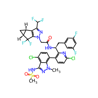 Cn1nc(NS(C)(=O)=O)c2c(Cl)ccc(-c3ccc(Cl)nc3[C@H](Cc3cc(F)cc(F)c3)NC(=O)Cn3nc(C(F)F)c4c3C(F)(F)[C@@H]3C[C@H]43)c21